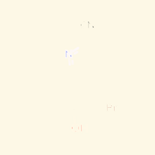 N#Cc1ccc2c(Br)c(O)ccc2n1